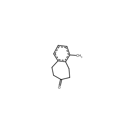 Cc1cccc2c1CCC(=O)CC2